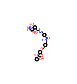 O=C(NCc1ccc(COc2ccc(C(O)(C(=O)O)c3ccccc3)cc2)cc1)c1ccc(CNC[C@H](O)c2ccc(O)c3[nH]c(=O)ccc23)cc1